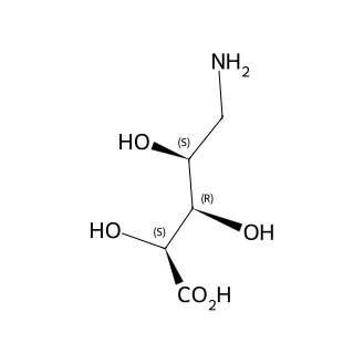 NC[C@H](O)[C@@H](O)[C@H](O)C(=O)O